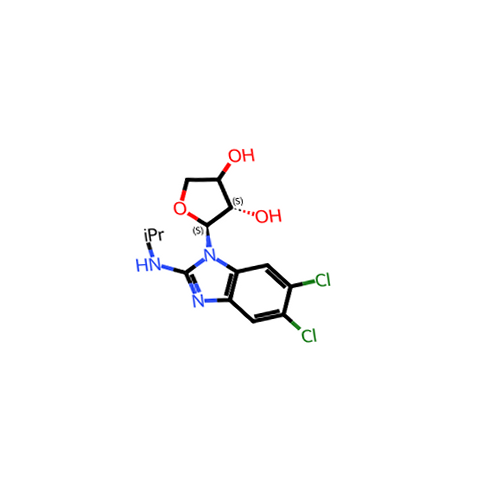 CC(C)Nc1nc2cc(Cl)c(Cl)cc2n1[C@H]1OCC(O)[C@@H]1O